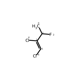 CC(F)/C(Cl)=[C]/Cl